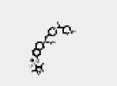 CCCN(CC1CCN(C(=O)C2CCNCC2)CC1)C1CCc2ccc(OS(=O)(=O)c3c(C)noc3C)cc2C1